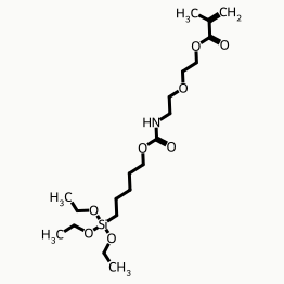 C=C(C)C(=O)OCCOCCNC(=O)OCCCCC[Si](OCC)(OCC)OCC